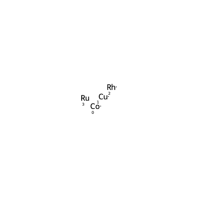 [Co].[Cu].[Rh].[Ru]